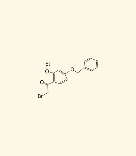 CCOc1cc(OCc2ccccc2)ccc1C(=O)CBr